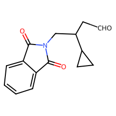 O=CCC(CN1C(=O)c2ccccc2C1=O)C1CC1